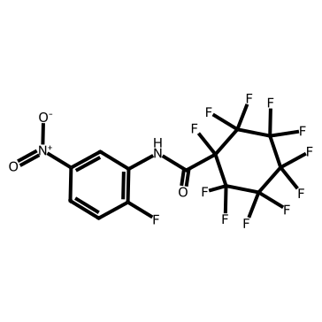 O=C(Nc1cc([N+](=O)[O-])ccc1F)C1(F)C(F)(F)C(F)(F)C(F)(F)C(F)(F)C1(F)F